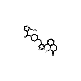 CN1C(=O)CCc2cccc(-c3n[nH]cc3CC3CCN(C(=O)c4ccnn4C)CC3)c21